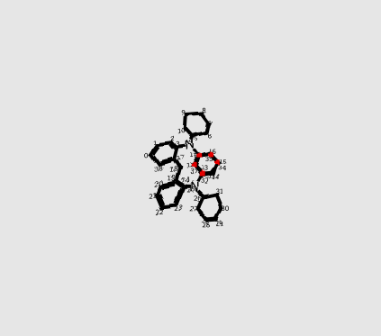 c1ccc(N(C2CCCCC2)C2CCCCC2)c(Cc2ccccc2N(C2CCCCC2)C2CCCCC2)c1